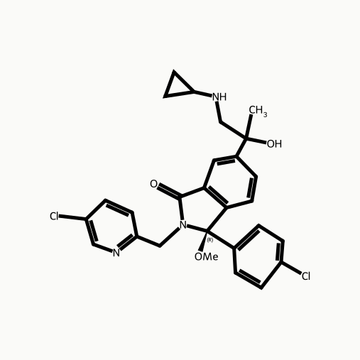 CO[C@]1(c2ccc(Cl)cc2)c2ccc(C(C)(O)CNC3CC3)cc2C(=O)N1Cc1ccc(Cl)cn1